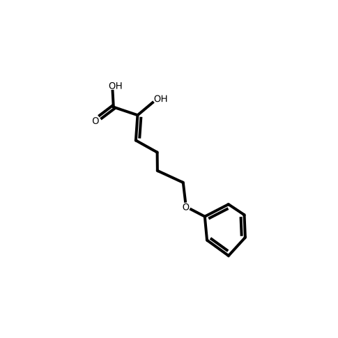 O=C(O)C(O)=CCCCOc1ccccc1